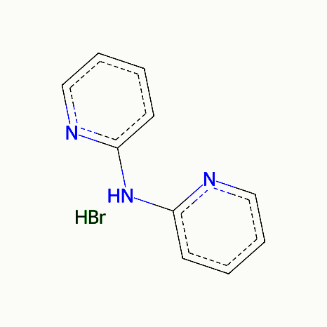 Br.c1ccc(Nc2ccccn2)nc1